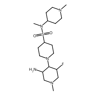 CN1CCC(N(C)S(=O)(=O)C2CCN(C3C(N)CN(C)CC3F)CC2)CC1